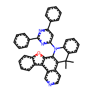 CC1(C)c2ccccc2N(c2cc(-c3ccccc3)nc(-c3ccccc3)n2)c2c1c1ccncc1c1c2oc2ccccc21